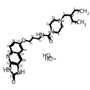 CCC(CC)CN1CCN(C(=O)NCCCOc2ccc3nc4[nH]c(=O)[nH]c4cc3c2)CC1.Cl.Cl